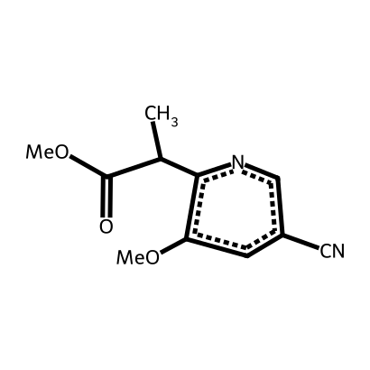 COC(=O)C(C)c1ncc(C#N)cc1OC